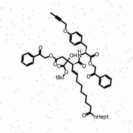 CC#CCOc1ccc(C[C@H](NC(=O)[C@@H](/C=C/CCCCCCC(=O)CCCCCCC)[C@@](O)(CC(=O)OCC(=O)c2ccccc2)C(=O)OC(C)(C)C)C(=O)OCC(=O)c2ccccc2)cc1